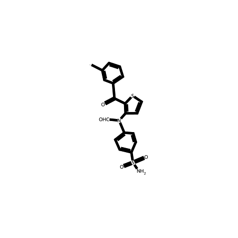 [CH2]c1cccc(C(=O)c2sccc2N(C=O)c2ccc(S(N)(=O)=O)cc2)c1